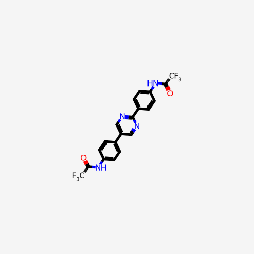 O=C(Nc1ccc(-c2cnc(-c3ccc(NC(=O)C(F)(F)F)cc3)nc2)cc1)C(F)(F)F